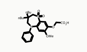 CCCCC1(CCCC)CN(c2ccccc2)c2cc(OC)c(OCC(=O)O)cc2S(=O)(=O)C1